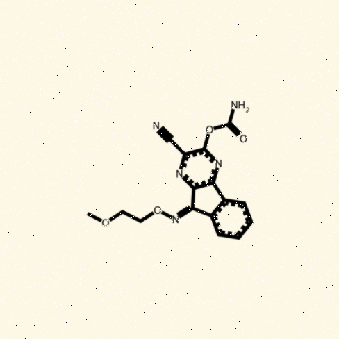 COCCON=C1c2ccccc2-c2nc(OC(N)=O)c(C#N)nc21